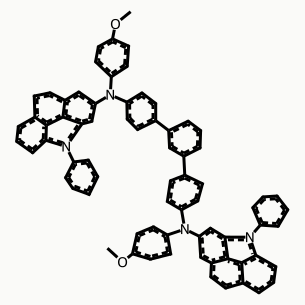 COc1ccc(N(c2ccc(-c3cccc(-c4ccc(N(c5ccc(OC)cc5)c5cc6ccc7cccc8c7c6c(c5)n8-c5ccccc5)cc4)c3)cc2)c2cc3ccc4cccc5c4c3c(c2)n5-c2ccccc2)cc1